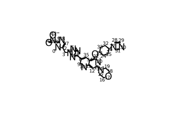 Cn1c(Cn2nnc(-c3cnc4cc(N5CCOCC5)nc(O[C@H]5CC[C@@H](n6ccnc6)CC5)c4c3)n2)cnc1[N+](=O)[O-]